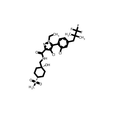 CCn1nc(C(=O)NC[C@]2(O)CC[C@@H](S(C)(=O)=O)CC2)c(Cl)c1-c1ccc(CC(C)(C)C(F)(F)F)cc1Cl